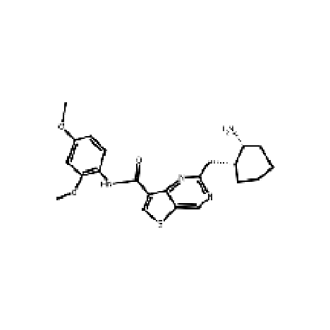 COc1ccc(NC(=O)c2csc3cnc(C[C@H]4CCCC[C@H]4N)nc23)c(OC)c1